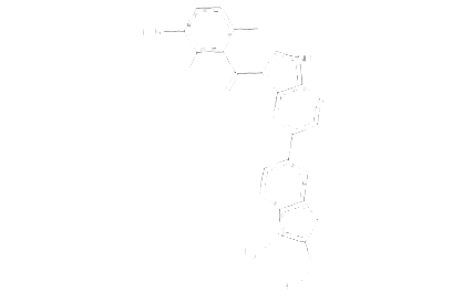 COc1nc2cc(-c3cnc4[nH]cc(C(=O)c5c(F)ccc(N)c5F)c4c3)ccc2n1C